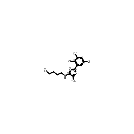 N#Cc1nc(-c2cc(Cl)cc(Cl)c2Cl)oc1NCCCCO